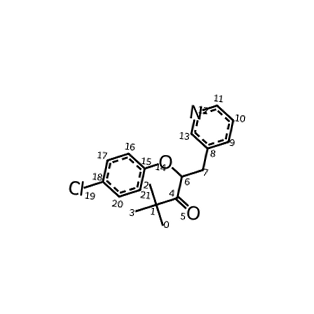 CC(C)(C)C(=O)C(Cc1cccnc1)Oc1ccc(Cl)cc1